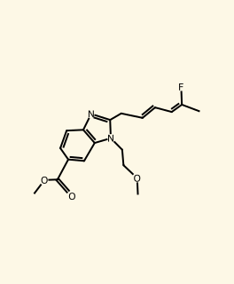 COCCn1c(C/C=C/C=C(C)F)nc2ccc(C(=O)OC)cc21